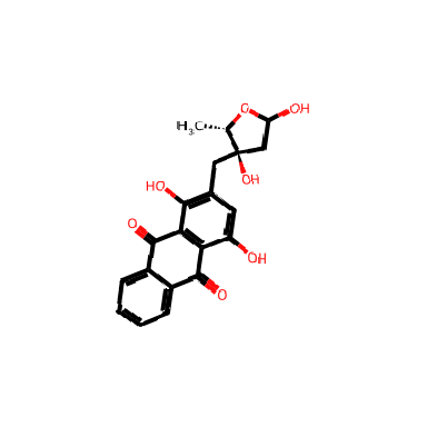 C[C@@H]1OC(O)C[C@]1(O)Cc1cc(O)c2c(c1O)C(=O)c1ccccc1C2=O